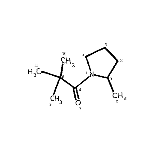 CC1CCCN1C(=O)C(C)(C)C